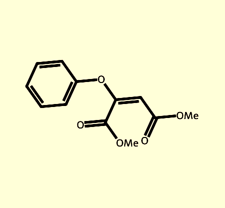 COC(=O)C=C(Oc1ccccc1)C(=O)OC